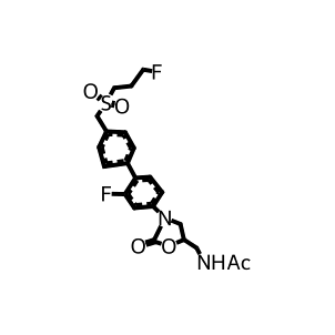 CC(=O)NCC1CN(c2ccc(-c3ccc(CS(=O)(=O)CCCF)cc3)c(F)c2)C(=O)O1